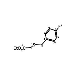 CCOC(=O)CSCc1ccc(F)cc1